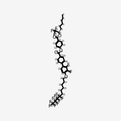 CCCCCC[C@@H](OC(=O)c1ccc(OC(=O)c2ccc(-c3ccc(OCCCCCCC(F)(F)C(F)(F)C(F)(F)C(F)(F)F)c(F)c3F)cc2)cc1)C(F)(F)F